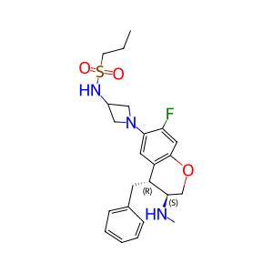 CCCS(=O)(=O)NC1CN(c2cc3c(cc2F)OC[C@@H](NC)[C@@H]3Cc2ccccc2)C1